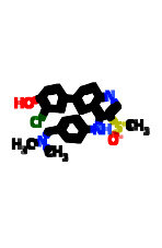 CN(C)Cc1ccc(Nc2c([S+](C)[O-])cnc3ccc(-c4ccc(O)c(Cl)c4)cc23)cc1